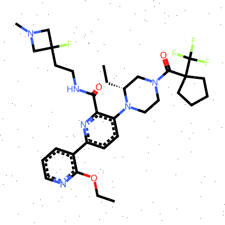 CCOc1ncccc1-c1ccc(N2CCN(C(=O)C3(C(F)(F)F)CCCC3)C[C@H]2CC)c(C(=O)NCCC2(F)CN(C)C2)n1